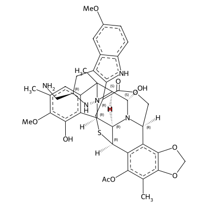 COc1ccc2[nH]c3c(c2c1)C[C@H](CN)N[C@]31CS[C@@H]2c3c(OC(C)=O)c(C)c4c(c3[C@H](COC1=O)N1[C@@H]2[C@H]2c3c(cc(C)c(OC)c3O)C3(C)[C@@H]([C@@H]1O)N23)OCO4